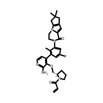 C=CC(=O)N1CCC[C@H]1COc1c(-c2cc(F)cc(N3CCn4c(cc5c4CC(C)(C)C5)C3=O)c2C)ccnc1N